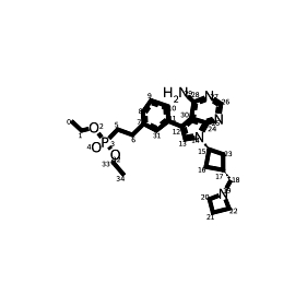 CCOP(=O)(CCc1cccc(-c2cn([C@H]3C[C@@H](CN4CCC4)C3)c3ncnc(N)c23)c1)OCC